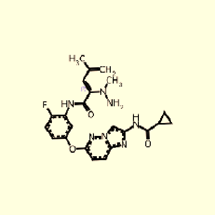 C=C(C)/C=C(/C(=O)Nc1cc(Oc2ccc3nc(NC(=O)C4CC4)cn3n2)ccc1F)N(C)N